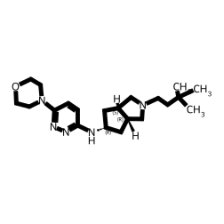 CC(C)(C)CCN1C[C@H]2C[C@@H](Nc3ccc(N4CCOCC4)nn3)C[C@H]2C1